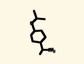 CC(C)OC1CCC(C(C)P)CC1